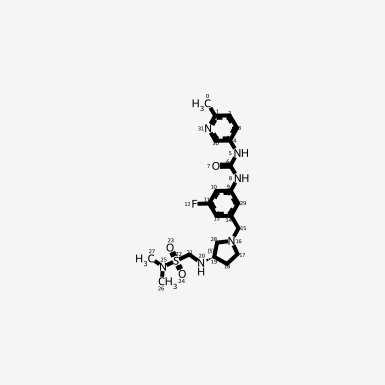 Cc1ccc(NC(=O)Nc2cc(F)cc(CN3CC[C@H](NCS(=O)(=O)N(C)C)C3)c2)cn1